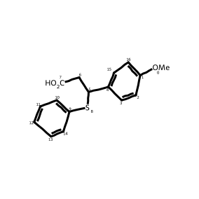 COc1ccc(C(CC(=O)O)Sc2ccccc2)cc1